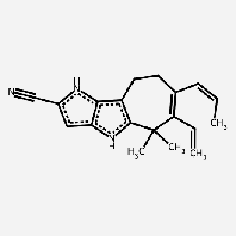 C=CC1=C(/C=C\C)CCc2c([nH]c3cc(C#N)[nH]c23)C1(C)C